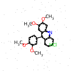 COc1ccc(-c2c3ccccc3nc3cc(OC)c(OC)cc23)cc1OC.Cl